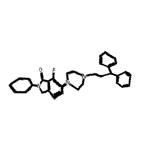 O=C1c2c(ccc(N3CCN(CCC(c4ccccc4)c4ccccc4)CC3)c2F)CN1C1CCCCC1